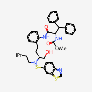 COC(=O)N[C@H](C(=O)Nc1ccccc1CC[C@@H](CO)N(CCC(C)C)Sc1ccc2ncsc2c1)C(c1ccccc1)c1ccccc1